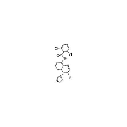 O=C(Nc1cccc2c(-n3ccnc3)c(Br)cnc12)c1c(Cl)cccc1Cl